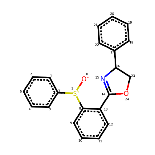 [O-][S+](c1ccccc1)c1ccccc1C1=NC(c2ccccc2)CO1